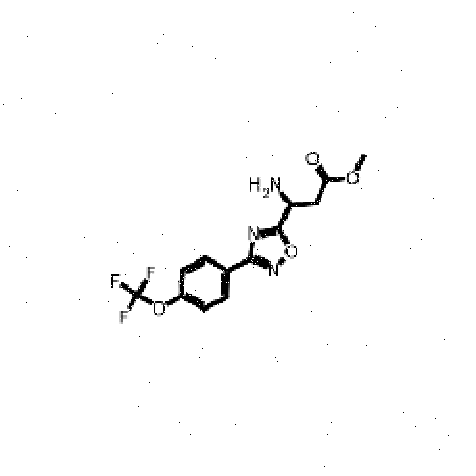 COC(=O)CC(N)c1nc(-c2ccc(OC(F)(F)F)cc2)no1